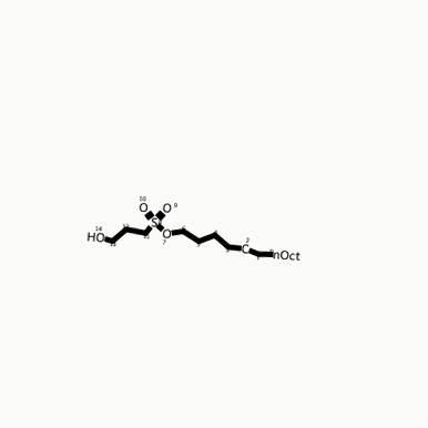 CCCCCCCCCCCCCCOS(=O)(=O)CCCO